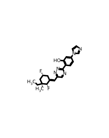 CC[C@@]1(C)C[C@H](F)C/C(=C\c2cnc(-c3ccc(-n4ccnc4)cc3O)nn2)[C@@H]1F